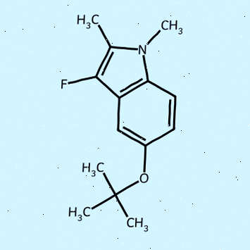 Cc1c(F)c2cc(OC(C)(C)C)ccc2n1C